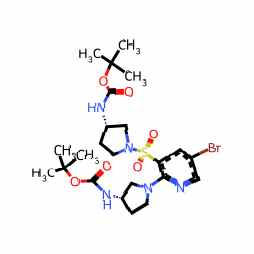 CC(C)(C)OC(=O)N[C@H]1CCN(c2ncc(Br)cc2S(=O)(=O)N2CC[C@H](NC(=O)OC(C)(C)C)C2)C1